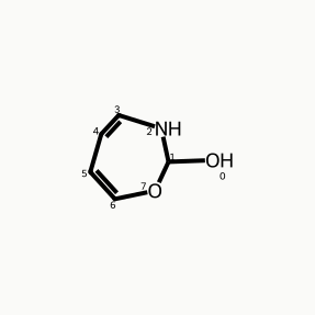 OC1NC=CC=CO1